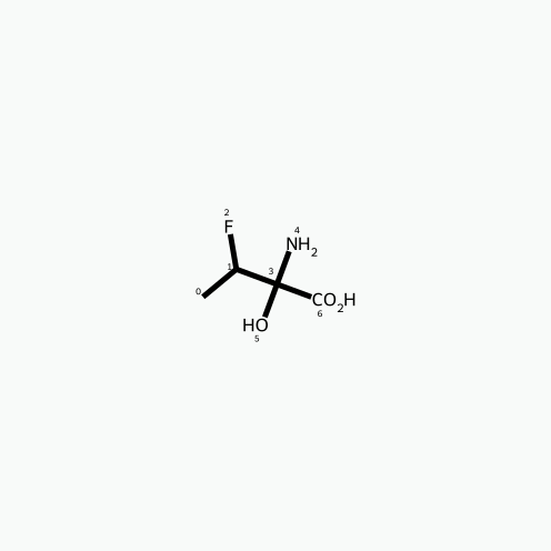 CC(F)C(N)(O)C(=O)O